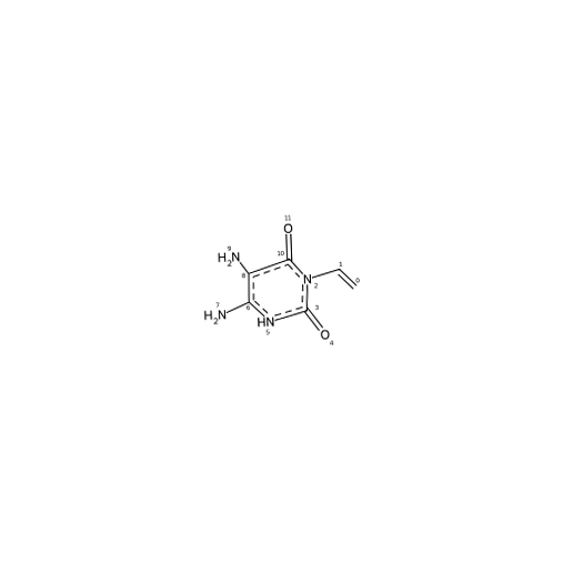 C=Cn1c(=O)[nH]c(N)c(N)c1=O